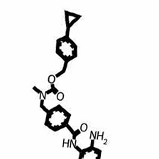 CN(Cc1ccc(C(=O)Nc2ccccc2N)cc1)C(=O)OCc1ccc(C2CC2)cc1